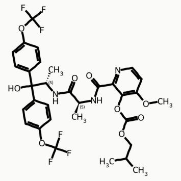 COc1ccnc(C(=O)N[C@@H](C)C(=O)N[C@@H](C)C(O)(c2ccc(OC(F)(F)F)cc2)c2ccc(OC(F)(F)F)cc2)c1OC(=O)OCC(C)C